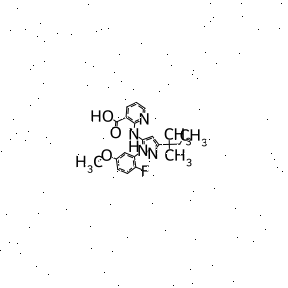 CCC(C)(C)c1cc(Nc2ncccc2C(=O)O)n(-c2cc(OC)ccc2F)n1